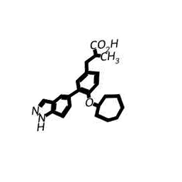 CC(Cc1ccc(OC2CCCCCC2)c(-c2ccc3[nH]ncc3c2)c1)C(=O)O